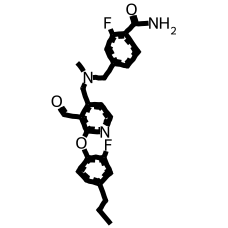 CCCc1ccc(Oc2nccc(CN(C)Cc3ccc(C(N)=O)c(F)c3)c2C=O)c(F)c1